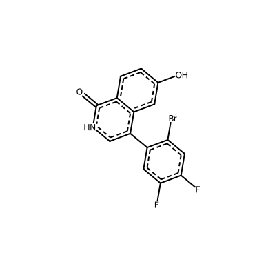 O=c1[nH]cc(-c2cc(F)c(F)cc2Br)c2cc(O)ccc12